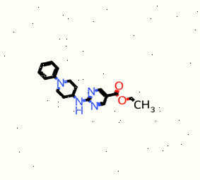 CCOC(=O)c1cnc(NC2CCN(c3ccccc3)CC2)nc1